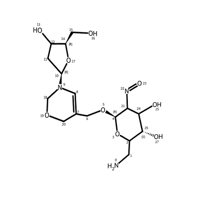 NCC1O[C@@H](OCC2=CN([C@H]3CC(O)[C@@H](CO)O3)COC2)C(N=O)C(O)[C@@H]1O